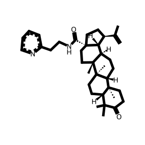 C=C(C)[C@@H]1CC[C@]2(C(=O)NCCc3ccccn3)CC[C@]3(C)[C@H](CC[C@@H]4[C@@]5(C)CCC(=O)C(C)(C)[C@@H]5CC[C@]43C)[C@@H]12